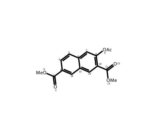 COC(=O)c1ccc2cc(OC(C)=O)c(C(=O)OC)cc2c1